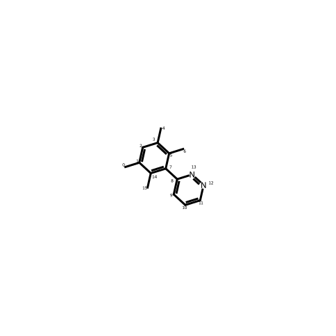 Cc1cc(C)c(C)c(-c2cccnn2)c1C